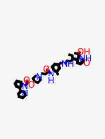 CC/C(CCNCc1ccc(NC(=O)CCN2CCC(OC(=O)Nc3ccccc3C3=CC=CCC3)CC2)c(C)c1)=c1/ccc(=O)[nH]/c1=C(/C)O